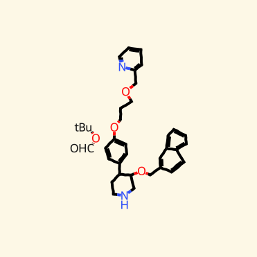 CC(C)(C)OC=O.c1ccc(COCCCOc2ccc(C3CCNCC3OCc3ccc4ccccc4c3)cc2)nc1